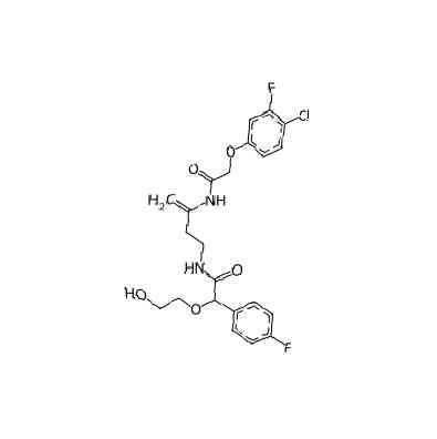 C=C(CCNC(=O)C(OCCO)c1ccc(F)cc1)NC(=O)COc1ccc(Cl)c(F)c1